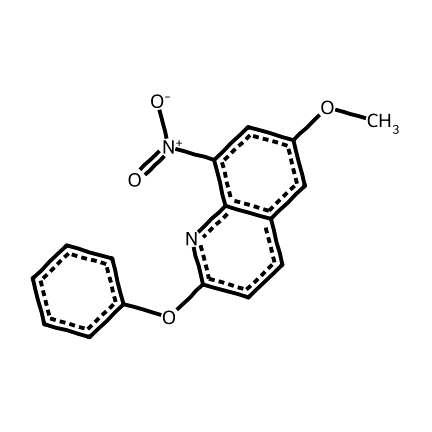 COc1cc([N+](=O)[O-])c2nc(Oc3ccccc3)ccc2c1